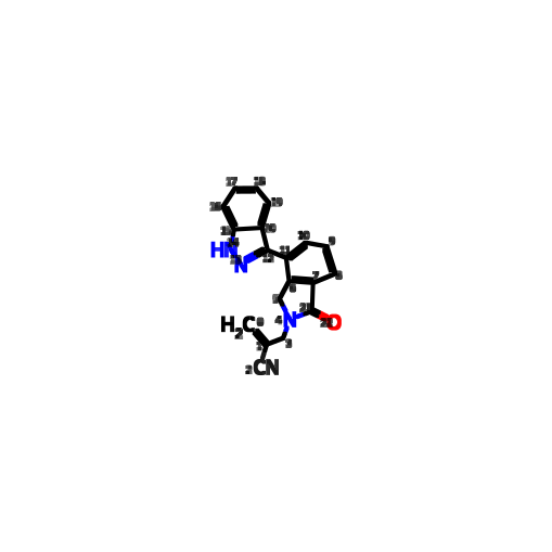 C=C(C#N)CN1Cc2c(cccc2-c2n[nH]c3ccccc23)C1=O